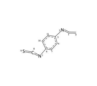 C=C=Nc1ccc(N=C=S)cc1